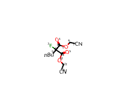 CCCCC(F)(C(=O)OCC#N)C(=O)OCC#N